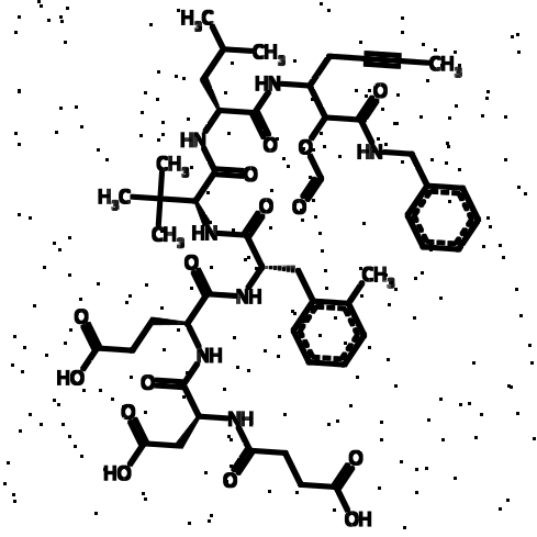 CC#CCC(NC(=O)[C@H](CC(C)C)NC(=O)[C@@H](NC(=O)[C@H](Cc1ccccc1C)NC(=O)[C@H](CCC(=O)O)NC(=O)[C@H](CC(=O)O)NC(=O)CCC(=O)O)C(C)(C)C)C(OC=O)C(=O)NCc1ccccc1